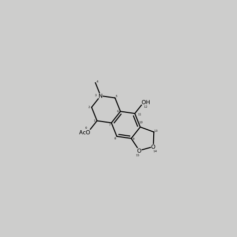 CC(=O)OC1CN(C)Cc2c1cc1c(c2O)COO1